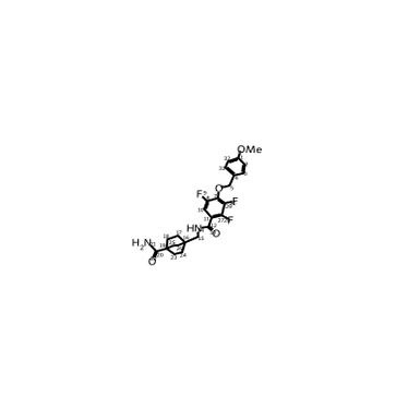 COc1ccc(COc2c(F)cc(C(=O)NCC34CCC(C(N)=O)(CC3)CC4)c(F)c2F)cc1